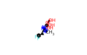 Cc1nc(C[C@@H]2C[C@H]2c2ccc(F)c(F)c2)c2nnn([C@@H]3C[C@H](OCCO)[C@@H](O)[C@H]3O)c2n1